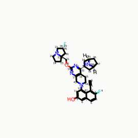 C#Cc1c(F)ccc2cc(O)cc(N3CCc4c(nc(OC[C@@]56CCCN5C[C@H](F)C6)nc4[C@@H]4C[C@H]5CC[C@@H](C4)N5)C3)c12